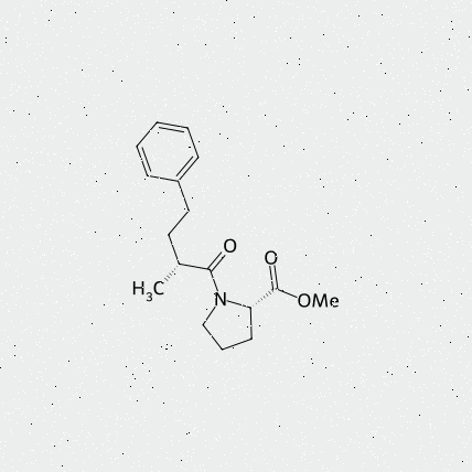 COC(=O)[C@@H]1CCCN1C(=O)[C@H](C)CCc1ccccc1